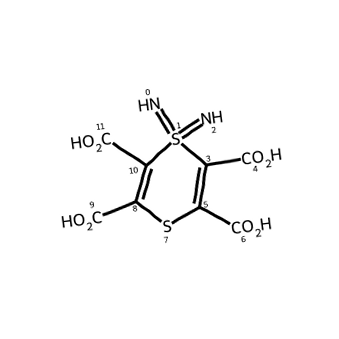 N=S1(=N)C(C(=O)O)=C(C(=O)O)SC(C(=O)O)=C1C(=O)O